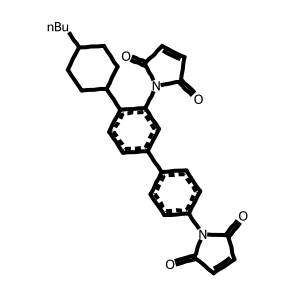 CCCCC1CCC(c2ccc(-c3ccc(N4C(=O)C=CC4=O)cc3)cc2N2C(=O)C=CC2=O)CC1